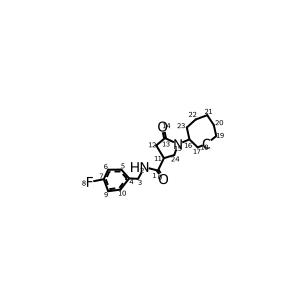 O=C(NCc1ccc(F)cc1)C1CC(=O)N(C2CCCCCCC2)C1